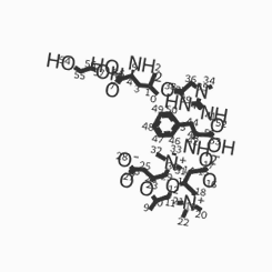 CC(C)C[C@H](N)C(=O)O.CC(COC(CC(=O)[O-])C[N+](C)(C)C)OC(CC(=O)[O-])C[N+](C)(C)C.CN1CC(=O)NC1=N.N[C@@H](Cc1ccccc1)C(=O)O.OCCO